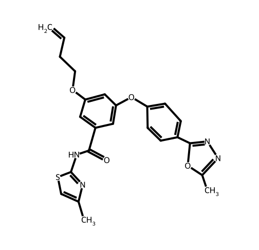 C=CCCOc1cc(Oc2ccc(-c3nnc(C)o3)cc2)cc(C(=O)Nc2nc(C)cs2)c1